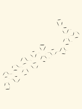 Cc1ccccc1-c1ccc2c(c1)Oc1cccc3c1B2c1ccc(-c2cc(-c4ccc5c(c4)Oc4cccc6c4B5c4ccccc4N6c4cccc(N5c6ccccc6B6c7ccccc7N(c7cccc(N8c9ccccc9B9c%10ccccc%10Oc%10cccc8c%109)c7)c7cccc5c76)c4)ccc2C)cc1O3